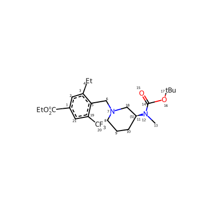 CCOC(=O)c1cc(CC)c(CN2CCC[C@H](N(C)C(=O)OC(C)(C)C)C2)c(C(F)(F)F)c1